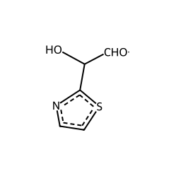 O=[C]C(O)c1nccs1